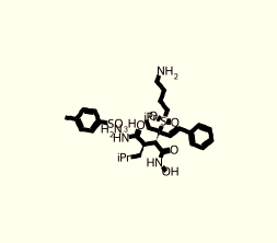 CC(C)C[C@@H](C(=O)NN)[C@@H](C(=O)NO)C(/C=C/c1ccccc1)(CC(C)C)S(=O)(=O)CCCCN.Cc1ccc(S(=O)(=O)O)cc1